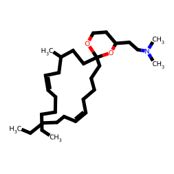 CCCCC/C=C\CCCCC1(CCC(C)C/C=C\CCCCC)OCCC(CCN(C)C)O1